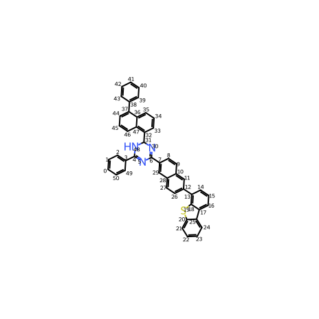 c1ccc(C2=NC(c3ccc4cc(-c5cccc6c5sc5ccccc56)ccc4c3)=NC(c3cccc4c(-c5ccccc5)cccc34)N2)cc1